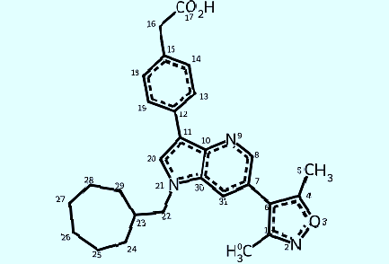 Cc1noc(C)c1-c1cnc2c(-c3ccc(CC(=O)O)cc3)cn(CC3CCCCCC3)c2c1